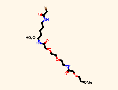 COCCOCC(=O)NCCOCCOCC(=O)N[C@@H](CCCCNC(=O)CBr)C(=O)O